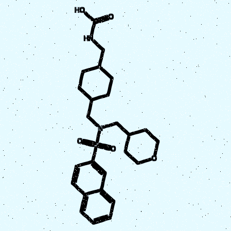 O=C(O)NCC1CCC(CN(CC2CCOCC2)S(=O)(=O)c2ccc3ccccc3c2)CC1